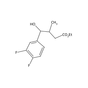 CCOC(=O)CC(C)C(O)c1ccc(F)c(F)c1